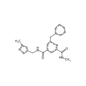 CNC(=O)c1cc(C(=O)NCc2cnn(C)c2)cc(Cc2ccccc2)n1